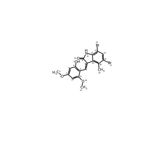 COc1cc(O)c(C=C2C(=O)Nc3c(Br)cc(Br)c(C)c32)c(OC)c1